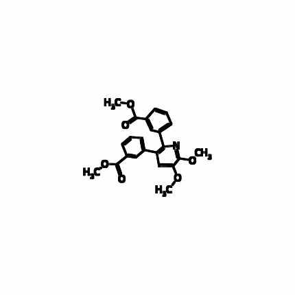 COC(=O)c1cccc(-c2cc(OC)c(OC)nc2-c2cccc(C(=O)OC)c2)c1